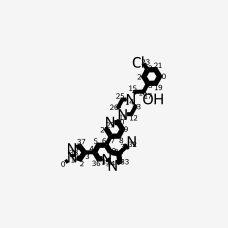 Cn1cc(-c2cc(-c3ccc(N4CCN(CC(O)c5cccc(Cl)c5)CC4)nc3)c3c(C#N)cnn3c2)cn1